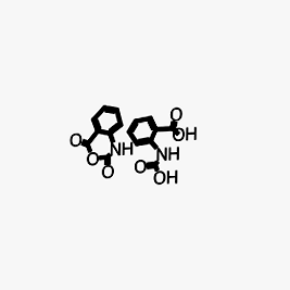 O=C(O)Nc1ccccc1C(=O)O.O=c1[nH]c2ccccc2c(=O)o1